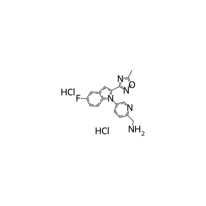 Cc1nc(-c2cc3cc(F)ccc3n2-c2ccc(CN)nc2)no1.Cl.Cl